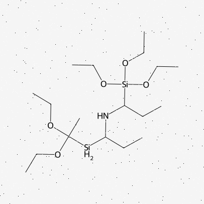 CCOC(C)(OCC)[SiH2]C(CC)NC(CC)[Si](OCC)(OCC)OCC